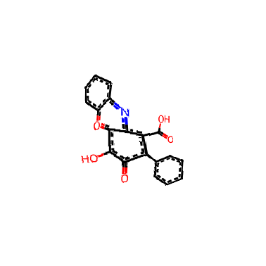 O=C(O)c1c2nc3ccccc3oc-2c(O)c(=O)c1-c1ccccc1